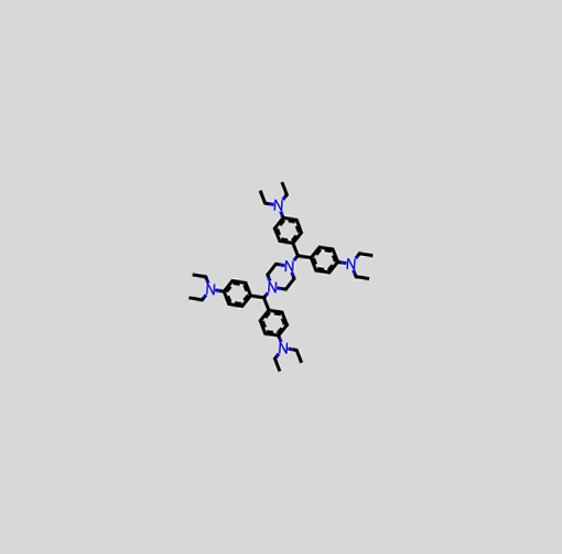 CCN(CC)c1ccc(C(c2ccc(N(CC)CC)cc2)N2CCN(C(c3ccc(N(CC)CC)cc3)c3ccc(N(CC)CC)cc3)CC2)cc1